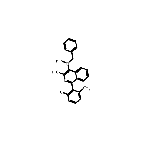 CCCN(Cc1ccccc1)c1c(C)nc(-c2c(C)cccc2C)c2ccccc12